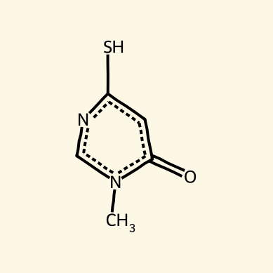 Cn1cnc(S)cc1=O